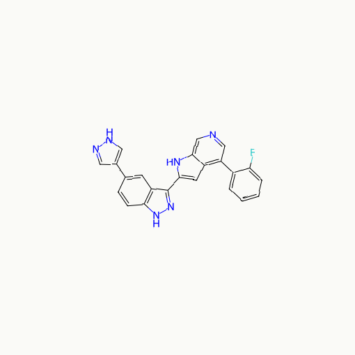 Fc1ccccc1-c1cncc2[nH]c(-c3n[nH]c4ccc(-c5cn[nH]c5)cc34)cc12